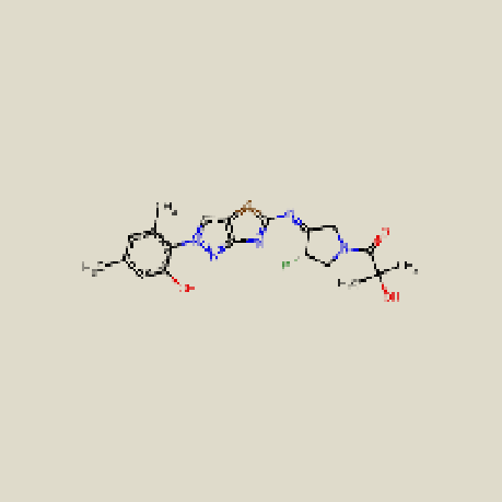 Cc1cc(C)c(-n2cc3sc(/N=C4/CN(C(=O)C(C)(C)O)C[C@@H]4F)nc3n2)c(O)c1